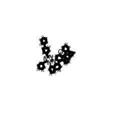 c1ccc(-c2ccc(-c3nc(-c4ccccc4)nc(-n4c5cc6c(cc5c5ccc7ccccc7c54)C4(c5ccccc5O6)c5ccccc5-c5ccccc54)n3)cc2)cc1